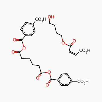 O=C(CCCCC(=O)OC(=O)c1ccc(C(=O)O)cc1)OC(=O)c1ccc(C(=O)O)cc1.O=C(O)/C=C\C(=O)OCCCCO